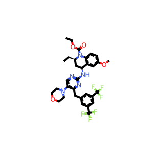 CCOC(=O)N1c2ccc(OC)cc2[C@@H](Nc2ncc(N3CCOCC3)c(Cc3cc(C(F)(F)F)cc(C(F)(F)F)c3)n2)C[C@H]1CC